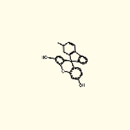 CC1C=CC2=C(C1)C1(c3ccc(O)cc3Oc3cc(O)ccc31)c1ccccc12